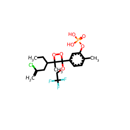 C=C(Cl)CC(CC)C1(C)OOC1(OCC(F)(F)F)c1ccc(C)c(OP(=O)(O)O)c1